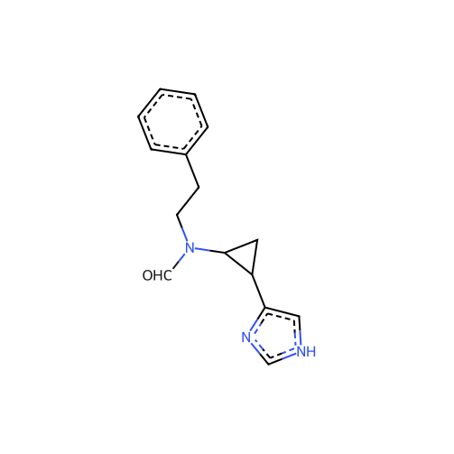 O=CN(CCc1ccccc1)C1CC1c1c[nH]cn1